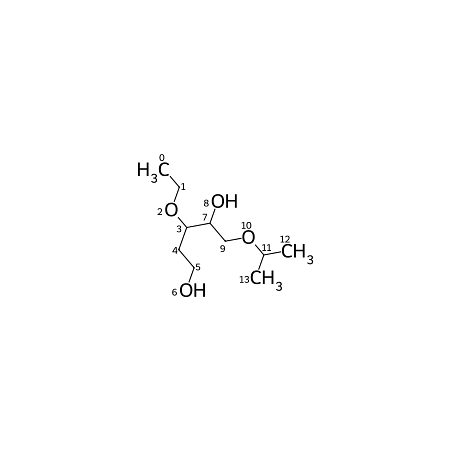 CCOC(CCO)C(O)COC(C)C